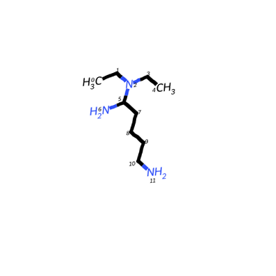 CCN(CC)C(N)CCCCN